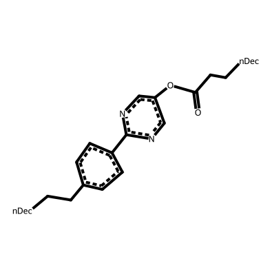 CCCCCCCCCCCCC(=O)Oc1cnc(-c2ccc(CCCCCCCCCCCC)cc2)nc1